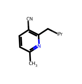 Cc1ccc(C#N)c(CC(C)C)n1